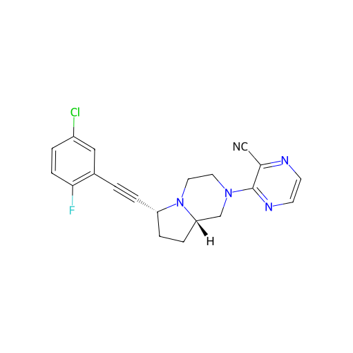 N#Cc1nccnc1N1CCN2[C@@H](CC[C@@H]2C#Cc2cc(Cl)ccc2F)C1